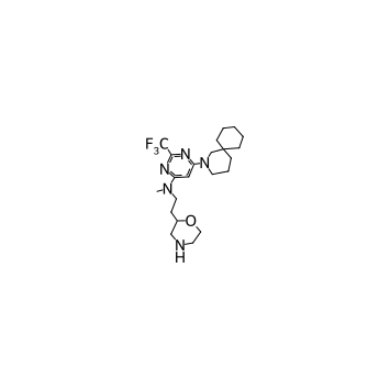 CN(CCC1CNCCO1)c1cc(N2CCCC3(CCCCC3)C2)nc(C(F)(F)F)n1